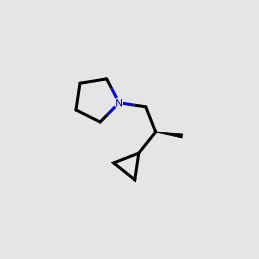 C[C@H](CN1CCCC1)C1CC1